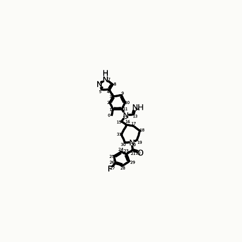 Cc1cc(-c2cn[nH]c2)ccc1N(C=N)CC1CCCN(C(=O)c2ccc(F)cc2)CC1